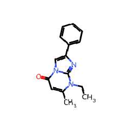 CCn1c(C)cc(=O)n2cc(-c3ccccc3)nc12